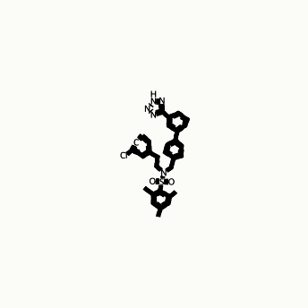 Cc1cc(C)c(S(=O)(=O)N(CCc2cccc(Cl)c2)Cc2ccc(-c3cccc(-c4nn[nH]n4)c3)cc2)c(C)c1